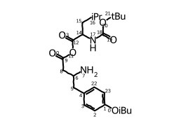 CC(C)COc1ccc(CC(N)CC(=O)OC(=O)C(CC(C)C)NC(=O)OC(C)(C)C)cc1